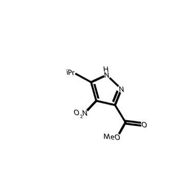 COC(=O)c1n[nH]c(C(C)C)c1[N+](=O)[O-]